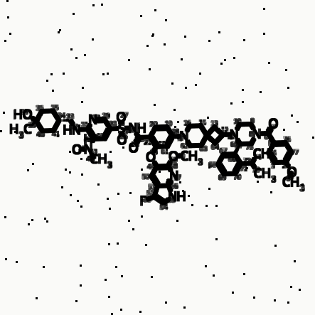 COc1ccc(C(=O)N2CCN(C3CC4(CCN(c5ccc(C(=O)NS(=O)(=O)c6cnc(NC[C@H]7CC[C@](C)(O)CC7)c([NH+](C)[O-])c6)c(Oc6cc7c(F)c[nH]c7nc6OC)c5)CC4)C3)[C@H](c3ccccc3C(C)C)C2)cc1